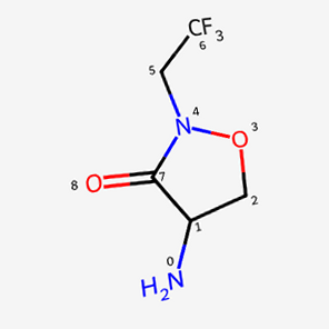 NC1CON(CC(F)(F)F)C1=O